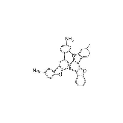 CC1C=c2c(c3c4oc5ccccc5c4ccc3n2-c2cc(N)ccc2-c2ccc3oc4ccc(C#N)cc4c3c2)=CC1